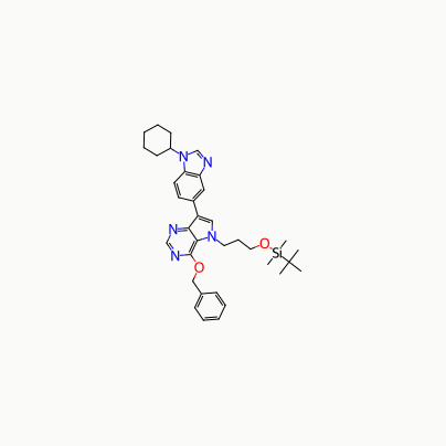 CC(C)(C)[Si](C)(C)OCCCn1cc(-c2ccc3c(c2)ncn3C2CCCCC2)c2ncnc(OCc3ccccc3)c21